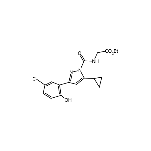 CCOC(=O)CNC(=O)n1nc(-c2cc(Cl)ccc2O)cc1C1CC1